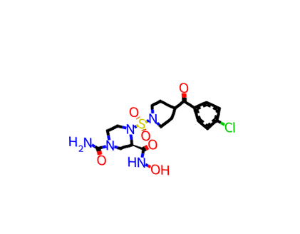 NC(=O)N1CCN(S(=O)(=O)N2CCC(C(=O)c3ccc(Cl)cc3)CC2)[C@@H](C(=O)NO)C1